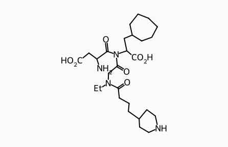 CCN(CC(=O)N(C(=O)C(N)CC(=O)O)C(CC1CCCCCC1)C(=O)O)C(=O)CCCC1CCNCC1